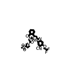 CS(=O)(=O)C1CCN(C(=O)Cn2nc(Cc3nc4cc(OCC(F)F)c(C#N)cc4[nH]3)c3ccccc3c2=O)C1